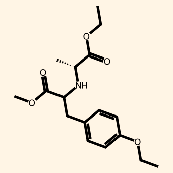 CCOC(=O)[C@@H](C)NC(Cc1ccc(OCC)cc1)C(=O)OC